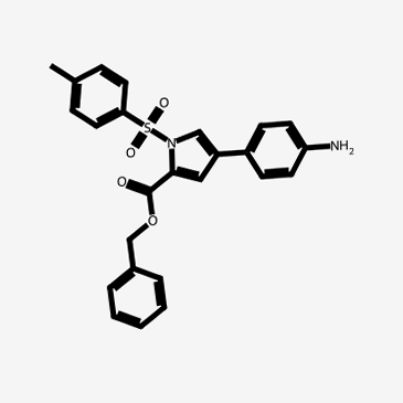 Cc1ccc(S(=O)(=O)n2cc(-c3ccc(N)cc3)cc2C(=O)OCc2ccccc2)cc1